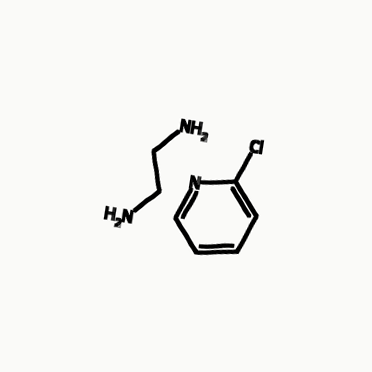 Clc1ccccn1.NCCN